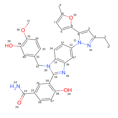 CCc1cc(-c2ccc(C)o2)n(-c2ccc3c(c2)nc(-c2cc(C(N)=O)ccc2O)n3Cc2ccc(OC)c(O)c2)n1